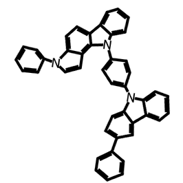 c1ccc(-c2ccc3c(c2)c2ccccc2n3-c2ccc(-n3c4ccccc4c4ccc5c(ccn5-c5ccccc5)c43)cc2)cc1